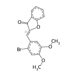 COc1cc(Br)c(/C=C2\Oc3ccccc3C2=O)cc1OC